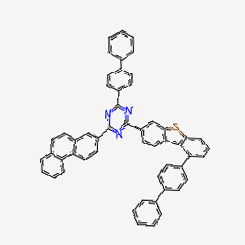 c1ccc(-c2ccc(-c3nc(-c4ccc5c(ccc6ccccc65)c4)nc(-c4ccc5c(c4)sc4cccc(-c6ccc(-c7ccccc7)cc6)c45)n3)cc2)cc1